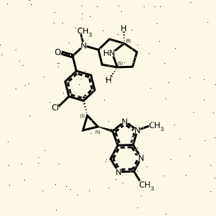 Cc1ncc2c([C@H]3C[C@@H]3c3ccc(C(=O)N(C)C4C[C@H]5CC[C@@H](C4)N5)cc3Cl)nn(C)c2n1